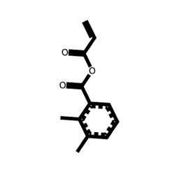 C=CC(=O)OC(=O)c1cccc(C)c1C